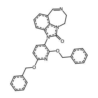 O=c1n2c3c(cccc3n1-c1ccc(OCc3ccccc3)nc1OCc1ccccc1)C=NCC2